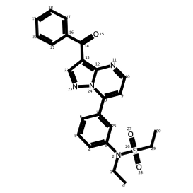 CCN(c1cccc(-c2ccnc3c(C(=O)c4ccccc4)cnn23)c1)S(=O)(=O)CC